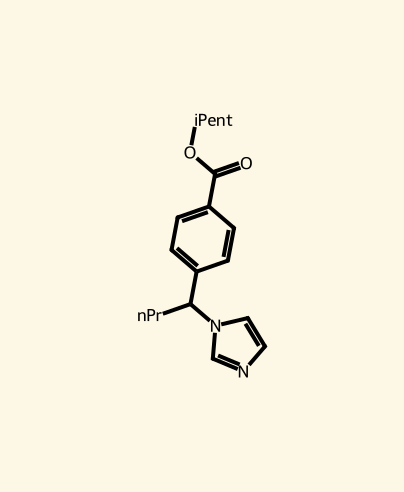 CCCC(C)OC(=O)c1ccc(C(CCC)n2ccnc2)cc1